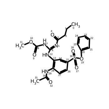 CCCC(=O)N=C(NC(=O)OC)Nc1cc(S(=O)(=O)Oc2ccccc2)ccc1NC(C)=O